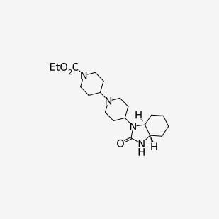 CCOC(=O)N1CCC(N2CCC(N3C(=O)N[C@H]4CCCC[C@@H]43)CC2)CC1